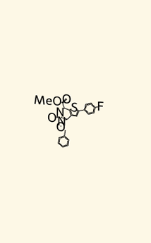 COC(=O)C1c2sc(-c3ccc(F)cc3)cc2C2CN1C(=O)N2OCc1ccccc1